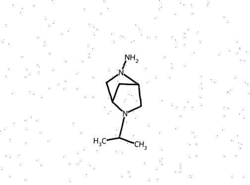 CC(C)N1CC2CC1CN2N